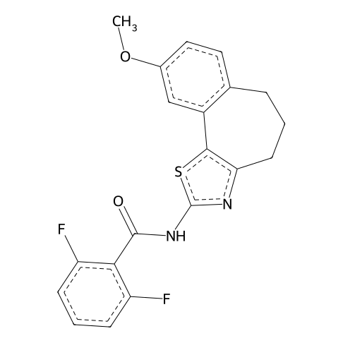 COc1ccc2c(c1)-c1sc(NC(=O)c3c(F)cccc3F)nc1CCC2